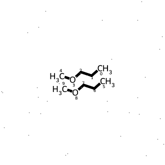 CCCOC.CCCOC